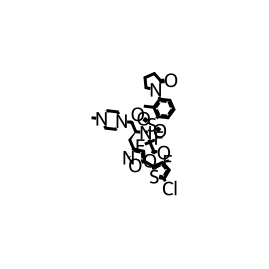 Cc1c(N2CCCC2=O)cccc1S(=O)(=O)N([C@@H](Cc1cc(-c2ccc(Cl)s2)on1)C(=O)N1CCN(C)CC1)C(F)(F)C(=O)OF